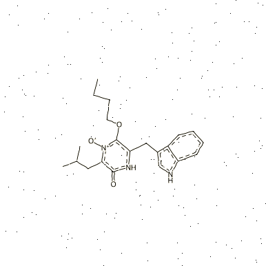 CCCCOc1c(Cc2c[nH]c3ccccc23)[nH]c(=O)c(CC(C)C)[n+]1[O-]